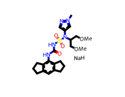 COCC(COC)N(c1cnn(C)c1)S(=O)(=O)NC(=O)Nc1c2c(cc3c1CCC3)CCC2.[NaH]